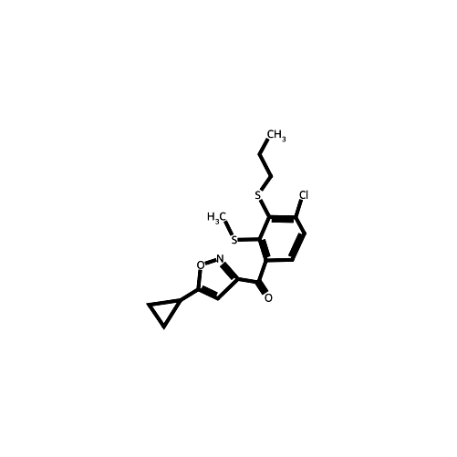 CCCSc1c(Cl)ccc(C(=O)c2cc(C3CC3)on2)c1SC